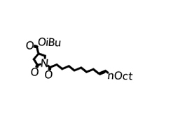 CCCCCCCCC=CCCCCCCCC(=O)N1CC(C(=O)OCC(C)C)CC1=O